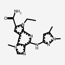 CCn1c(C(N)=O)cc2c3c(ncn3C)c(Nc3cc(C)n(C)n3)nc21